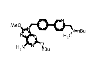 CCCCOc1nc(N)c2nc(OC)n(Cc3ccc(-c4ccc(CN(C)CCCC)nc4)cc3)c2n1